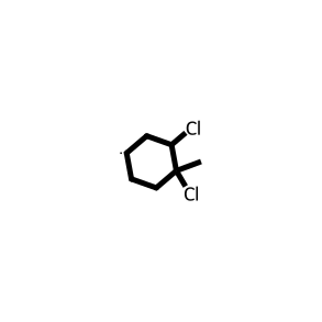 CC1(Cl)CC[CH]CC1Cl